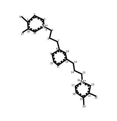 Cc1cc[n+](CCCc2cccc(CCC[n+]3ccc(C)c(C)c3)c2)cc1C